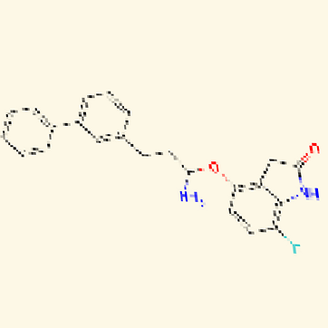 NC(CCc1cccc(-c2ccccc2)c1)Oc1ccc(F)c2c1CC(=O)N2